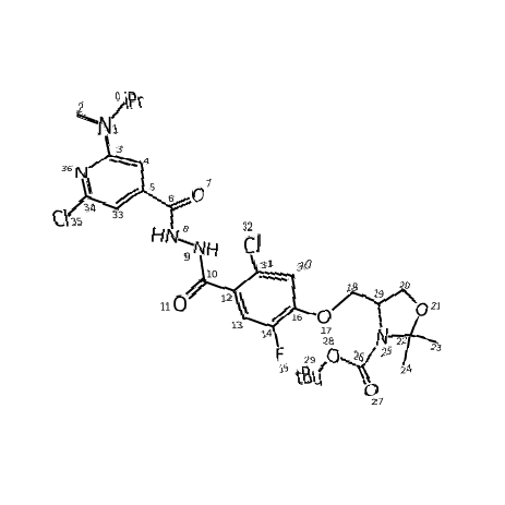 CC(C)N(C)c1cc(C(=O)NNC(=O)c2cc(F)c(OCC3COC(C)(C)N3C(=O)OC(C)(C)C)cc2Cl)cc(Cl)n1